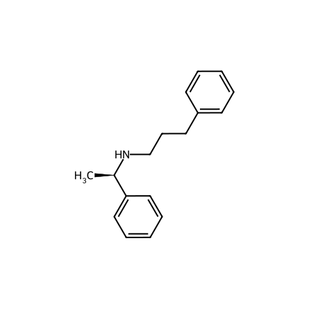 C[C@@H](NCCCc1ccccc1)c1ccccc1